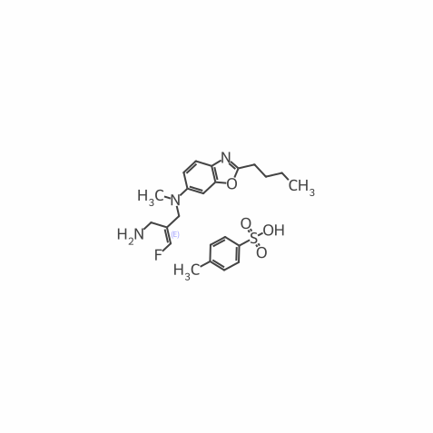 CCCCc1nc2ccc(N(C)C/C(=C/F)CN)cc2o1.Cc1ccc(S(=O)(=O)O)cc1